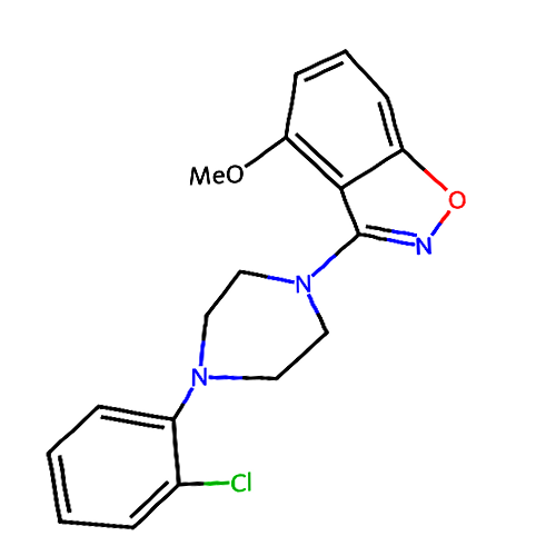 COc1cccc2onc(N3CCN(c4ccccc4Cl)CC3)c12